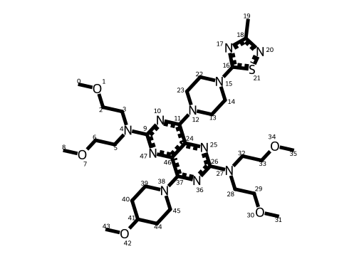 COCCN(CCOC)c1nc(N2CCN(c3nc(C)ns3)CC2)c2nc(N(CCOC)CCOC)nc(N3CCC(OC)CC3)c2n1